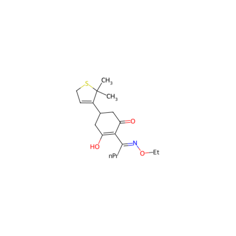 CCCC(=NOCC)C1=C(O)CC(C2=CCSC2(C)C)CC1=O